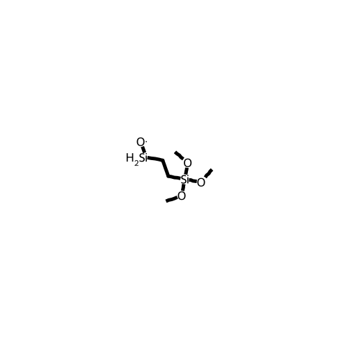 CO[Si](CC[SiH2][O])(OC)OC